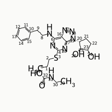 CCCSc1nc(NCCc2ccccc2)c2nnn([C@@H]3CC[C@@H](O)[C@H]3O)c2n1.CCNC(=O)O